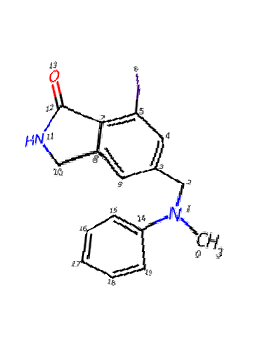 CN(Cc1cc(I)c2c(c1)CNC2=O)c1ccccc1